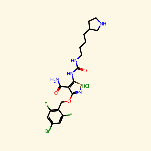 Cl.NC(=O)c1c(OCc2c(F)cc(Br)cc2F)nsc1NC(=O)NCCCCC1CCNC1